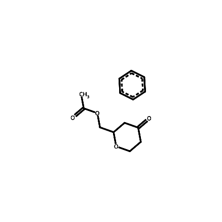 CC(=O)OCC1CC(=O)CCO1.c1ccccc1